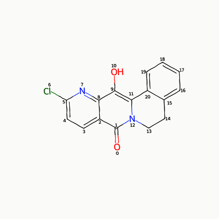 O=c1c2ccc(Cl)nc2c(O)c2n1CCc1ccccc1-2